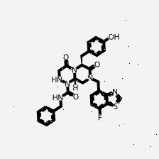 O=C1[C@H](Cc2ccc(O)cc2)N2C(=O)CNN(C(=O)NCc3ccccc3)[C@H]2CN1Cc1ccc(F)c2scnc12